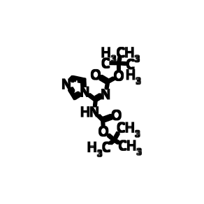 CC(C)(C)OC(=O)/N=C(/NC(=O)OC(C)(C)C)n1ccnc1